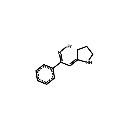 CC(C)N=C(C=C1CCCN1)c1ccccc1